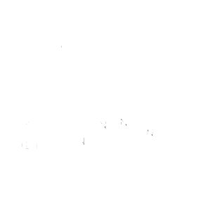 Cc1c(Cc2c(CO[Si](C)(C)C(C)(C)C)nc3ccc(N4CCOC(C)C4)nn23)cccc1C(F)(F)F